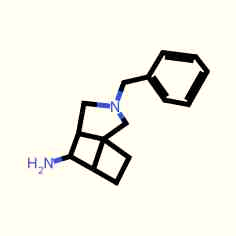 NC1C2CCC23CN(Cc2ccccc2)CC13